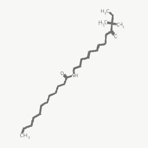 CCCCCCCCCCCC(=O)NCCCCCCCCCC(=O)C(C)(C)CC